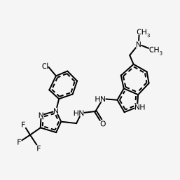 CN(C)Cc1ccc2[nH]cc(NC(=O)NCc3cc(C(F)(F)F)nn3-c3cccc(Cl)c3)c2c1